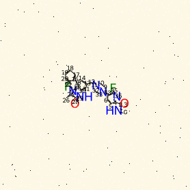 CNC(=O)c1ccc(N2CCN(Cc3cc(-c4ccccc4F)c4nc(C)c(=O)[nH]c4c3)CC2)c(F)n1